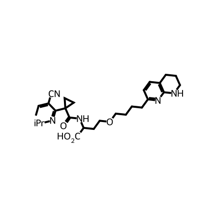 C/C=C(C#N)\C(=N/C(C)C)C1(C(=O)NC(CCOCCCCc2ccc3c(n2)NCCC3)C(=O)O)CC1